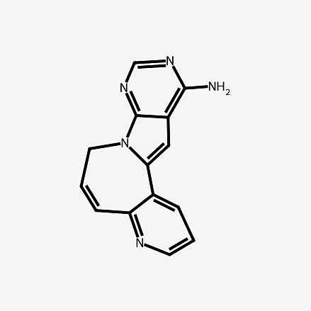 Nc1ncnc2c1cc1n2CC=Cc2ncccc2-1